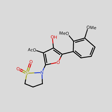 COc1cccc(-c2oc(N3CCCS3(=O)=O)c(OC(C)=O)c2O)c1OC